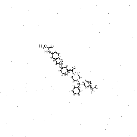 CC(=O)Nc1ccc2nn(-c3ccnc(C(=O)N4CCN(C(c5ccccc5)c5nnn(C(F)F)n5)CC4)c3)cc2c1